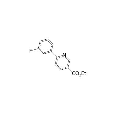 CCOC(=O)c1ccc(-c2cccc(F)c2)nc1